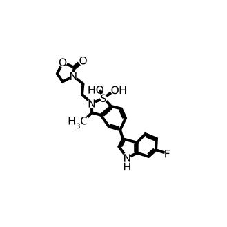 CC1c2cc(-c3c[nH]c4cc(F)ccc34)ccc2S(O)(O)N1CCN1CCOC1=O